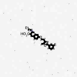 CCO/N=C(/C)C(Cc1ccc(OCCc2nc(-c3cccc(F)c3)oc2C)cc1)C(=O)O